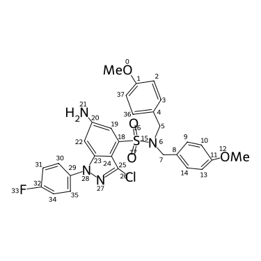 COc1ccc(CN(Cc2ccc(OC)cc2)S(=O)(=O)c2cc(N)cc3c2c(Cl)nn3-c2ccc(F)cc2)cc1